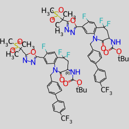 CC(C)(C)OC(=O)NC1CC(F)(F)c2cc(F)c(-c3nnc(C(C)(C)S(C)(=O)=O)o3)cc2N(Cc2ccc(-c3ccc(C(F)(F)F)cc3)cc2)C1=O.CC(C)(C)OC(=O)N[C@@H]1CC(F)(F)c2cc(F)c(-c3nnc(C(C)(C)S(C)(=O)=O)o3)cc2N(Cc2ccc(-c3ccc(C(F)(F)F)cc3)cc2)C1=O